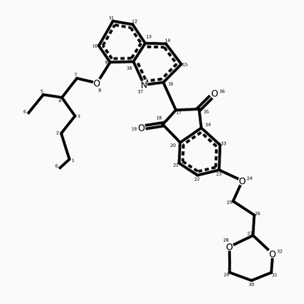 CCCCC(CC)COc1cccc2ccc(C3C(=O)c4ccc(OCCC5OCCCO5)cc4C3=O)nc12